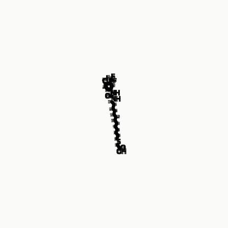 O=C(O)CSCCCCCCCCCCCCCNC(=O)Nc1ccc(Cl)c(C(F)(F)F)c1